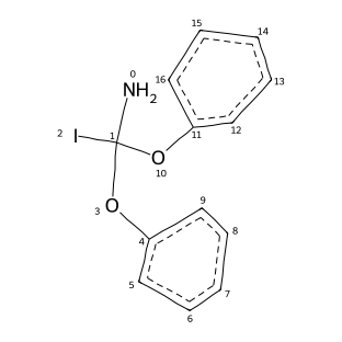 NC(I)(Oc1ccccc1)Oc1ccccc1